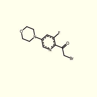 O=C(CBr)c1ncc(N2CCOCC2)cc1F